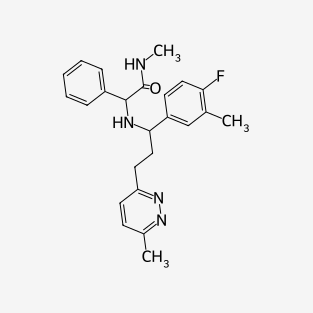 CNC(=O)C(NC(CCc1ccc(C)nn1)c1ccc(F)c(C)c1)c1ccccc1